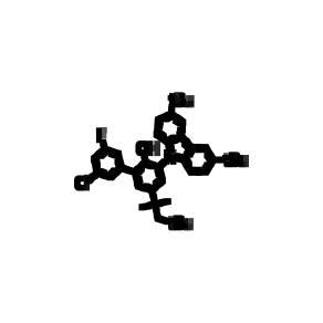 CC(C)(C)CC(C)(C)c1cc(-c2cc(F)cc(Cl)c2)c(O)c(-n2c3ccc(C(C)(C)C)cc3c3cc(C(C)(C)C)ccc32)c1